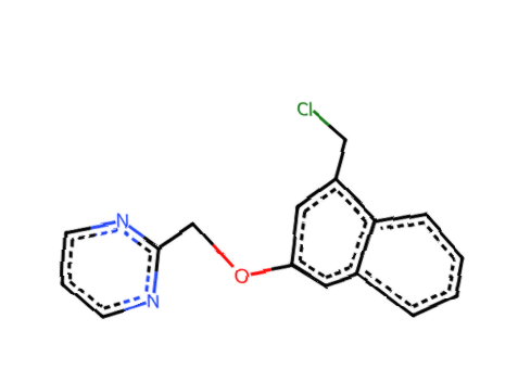 ClCc1cc(OCc2ncccn2)cc2ccccc12